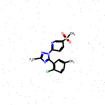 Cc1ccc(Cl)c(-c2nc(C(F)(F)F)nn2-c2ccc(S(C)(=O)=O)cn2)c1